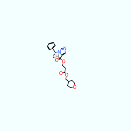 C[C@H](c1ccccc1)n1cncc1C(=O)OCCC(=O)OCC1CCOCC1